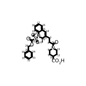 C[C@@H]1C(CCC(=O)N2CCC(C(=O)O)CC2)=Cc2ccccc2N1S(=O)(=O)C(=O)OCc1ccccc1